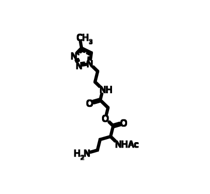 CC(=O)NC(CCN)C(=O)OCC(=O)NCCn1cc(C)nn1